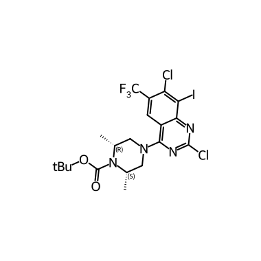 C[C@@H]1CN(c2nc(Cl)nc3c(I)c(Cl)c(C(F)(F)F)cc23)C[C@H](C)N1C(=O)OC(C)(C)C